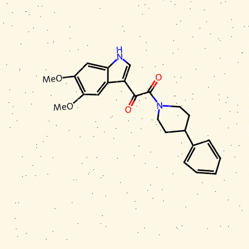 COc1cc2[nH]cc(C(=O)C(=O)N3CCC(c4ccccc4)CC3)c2cc1OC